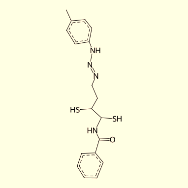 Cc1ccc(NN=NCCC(S)C(S)NC(=O)c2ccccc2)cc1